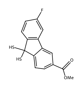 COC(=O)c1ccc2c(c1)-c1cc(F)ccc1C2(S)S